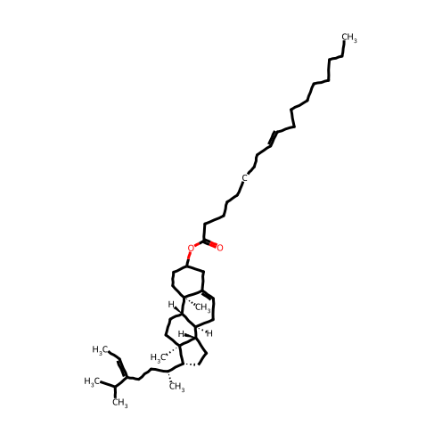 CC=C(CC[C@@H](C)[C@H]1CC[C@H]2[C@@H]3CC=C4CC(OC(=O)CCCCCCCC=CCCCCCCCC)CC[C@]4(C)[C@H]3CC[C@]12C)C(C)C